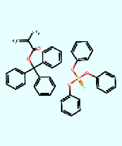 C=C(C)C(=O)OC(c1ccccc1)(c1ccccc1)c1ccccc1.S=P(Oc1ccccc1)(Oc1ccccc1)Oc1ccccc1